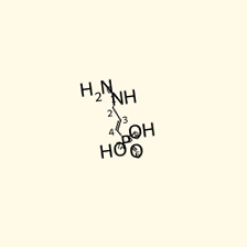 NNCC=CP(=O)(O)O